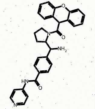 NC(c1ccc(C(=O)Nc2ccncc2)cc1)C1CCCN1C(=O)C1c2ccccc2Oc2ccccc21